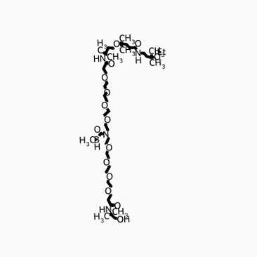 CBC(=O)N(CCOCCOCCOCCOCCC(=O)NC(C)(C)CO)CCOCCOCCOCCOCCC(=O)NC(C)(C)CCOC(C)(C)CCC(=O)NCCC(C)(C)OCC